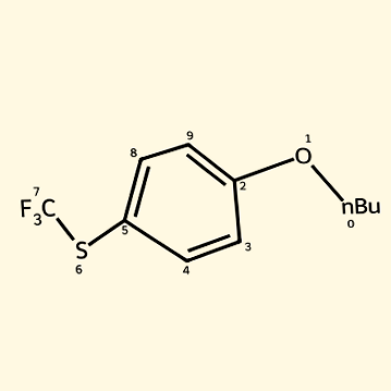 CCCCOc1ccc(SC(F)(F)F)cc1